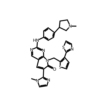 CN1CCC(c2ccc(Nc3ncc4cc(-c5nccn5C)c(=O)n(Cc5sccc5-c5nccs5)c4n3)cc2)C1